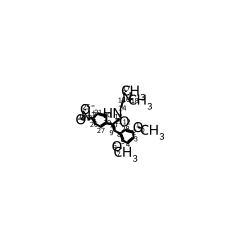 COc1ccc(OC)c(C=C(C(=O)NCCN(C)C)c2ccc([N+](=O)[O-])cc2)c1